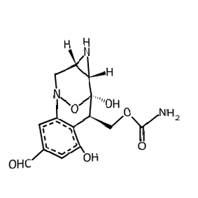 NC(=O)OC[C@H]1c2c(O)cc(C=O)cc2N2C[C@@H]3N[C@@H]3[C@]1(O)O2